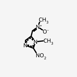 Cn1c(C=[N+](C)[O-])cnc1[N+](=O)[O-]